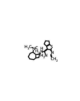 C=C/N=C1/SC2=C(CCC2)/C1=C(/N)NC1CC2CCCCC(N(C)C)C21